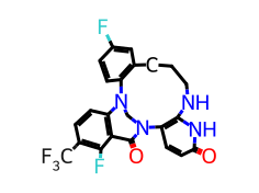 O=C1c2c(ccc(C(F)(F)F)c2F)N2CN1c1ccc(=O)[nH]c1NCCCc1cc(F)ccc12